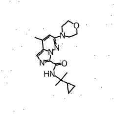 Cc1cc(N2CCOCC2)nn2c(C(=O)NC(C)(C)C3CC3)ncc12